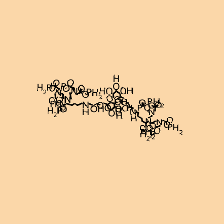 O=C(P)OCN(CCN(CCN(CC(=O)OP)CC(=O)OP)C(CCCCNCC(O)COCC1OC(OC2C(COCC(O)CNCCCCC(C(=O)OP)N(CCN(CC(=O)OP)CC(=O)OP)CCN(CC(=O)OP)CC(=O)OP)OC(O)C(O)C2O)C(O)C(O)C1O)C(=O)OP)CC(=O)OP